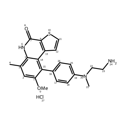 COc1cc(C)c2[nH]c(=O)c3sccc3c2c1-c1ccc(N(C)CCN)cc1.Cl